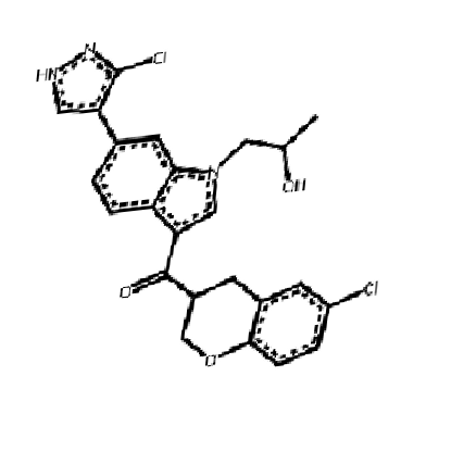 CC(O)Cn1cc(C(=O)C2COc3ccc(Cl)cc3C2)c2ccc(-c3c[nH]nc3Cl)cc21